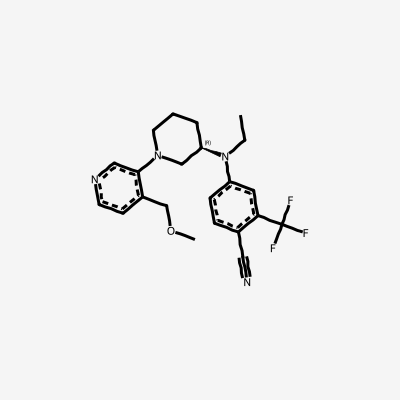 CCN(c1ccc(C#N)c(C(F)(F)F)c1)[C@@H]1CCCN(c2cnccc2COC)C1